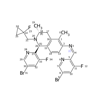 Cc1c(/N=C\c2ncc(Br)cc2F)ccc2c1C[C@@H](C)N(CC1(F)CC1)[C@@H]2c1ncc(Br)cc1F